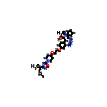 CC(C)c1noc(N2CCC(OCCOc3ccc(CC(=O)N(C)C4(CN=[N+]=[N-])CCCC4)c(F)c3)CC2)n1